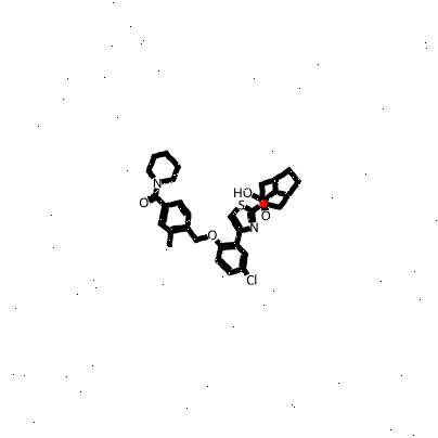 Cc1cc(C(=O)N2CCCCC2)ccc1COc1ccc(Cl)cc1-c1csc(N2CC3CCC(C2)C3C(=O)O)n1